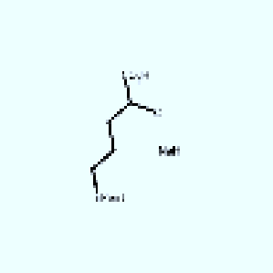 CCCCCCCCC(Cl)C(=O)O.[NaH]